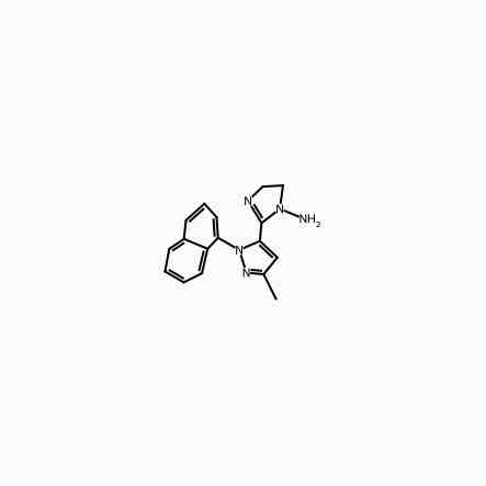 Cc1cc(C2=NCCN2N)n(-c2cccc3ccccc23)n1